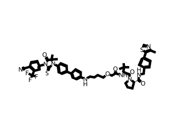 Cc1ncsc1-c1ccc(CNC(=O)[C@@H]2CCCN2C(=O)C(NC(=O)COCCCCNc2ccc(-c3ccc(N4C(=S)N(c5ccc(C#N)c(C(F)(F)F)c5)C(=O)C4(C)C)cc3)cc2)C(C)(C)C)cc1